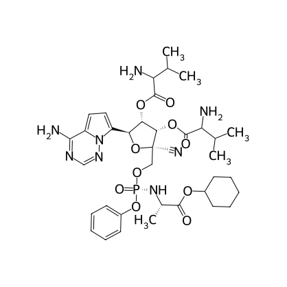 CC(C)C(N)C(=O)O[C@H]1[C@H](c2ccc3c(N)ncnn23)O[C@](C#N)(CO[P@@](=O)(N[C@@H](C)C(=O)OC2CCCCC2)Oc2ccccc2)[C@H]1OC(=O)C(N)C(C)C